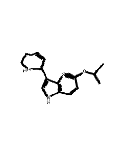 CC(C)Oc1ccc2[nH]cc(C3C=CCCN3)c2n1